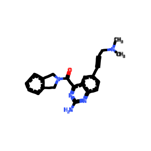 CN(C)CC#Cc1ccc2nc(N)nc(C(=O)N3Cc4ccccc4C3)c2c1